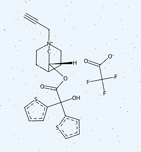 C#CC[N+]12CCC(CC1)[C@@H](OC(=O)C(O)(c1cccs1)c1cccs1)C2.O=C([O-])C(F)(F)F